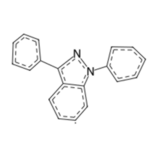 [c]1ccc2c(-c3ccccc3)nn(-c3ccccc3)c2c1